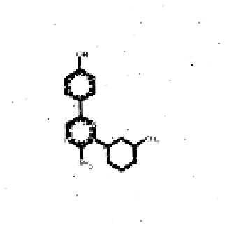 CC1CCCC(c2nc(-c3ccc(O)cc3)cnc2N)C1